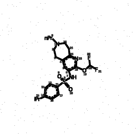 CCCN1CCc2cc(NS(=O)(=O)c3ccc(C(C)C)cc3)c(OC(F)F)nc2CC1